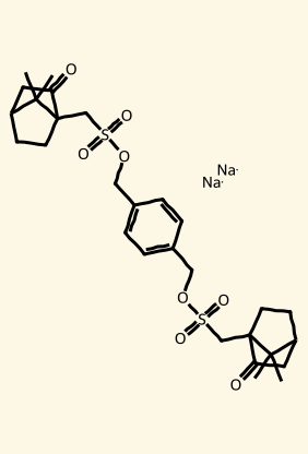 CC1(C)C2CCC1(CS(=O)(=O)OCc1ccc(COS(=O)(=O)CC34CCC(CC3=O)C4(C)C)cc1)C(=O)C2.[Na].[Na]